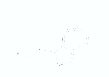 Clc1ccc2[nH]nc(CCBr)c2c1